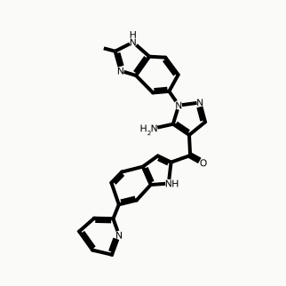 Cc1nc2cc(-n3ncc(C(=O)c4cc5ccc(-c6ccccn6)cc5[nH]4)c3N)ccc2[nH]1